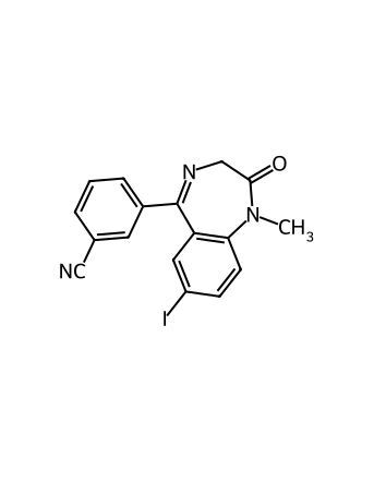 CN1C(=O)CN=C(c2cccc(C#N)c2)c2cc(I)ccc21